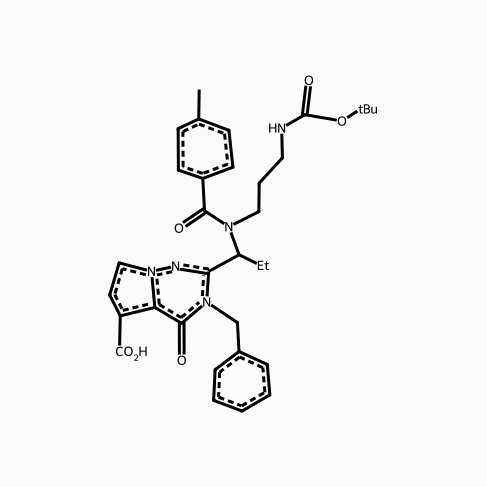 CCC(c1nn2ccc(C(=O)O)c2c(=O)n1Cc1ccccc1)N(CCCNC(=O)OC(C)(C)C)C(=O)c1ccc(C)cc1